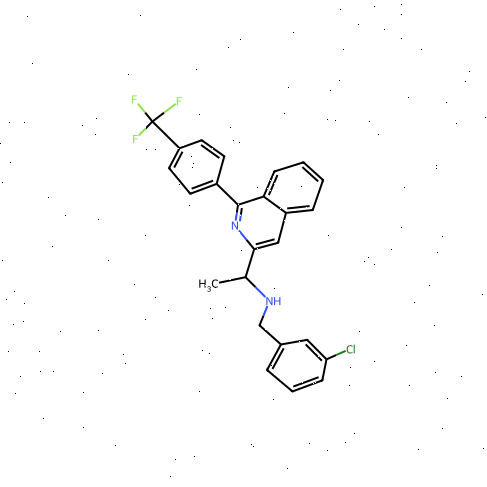 CC(NCc1cccc(Cl)c1)c1cc2ccccc2c(-c2ccc(C(F)(F)F)cc2)n1